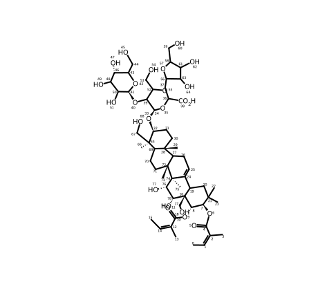 C/C=C(/C)C(=O)O[C@H]1[C@H](OC(=O)/C(C)=C\C)[C@@]2(CO)C(CC1(C)C)C1=CCC3[C@@]4(C)CC[C@H](O[C@H](OC(C)C(=O)O)C(O[C@@H]5OC(CO)[C@@H](O)C(O)C5O)C(CO)OC5OC(CO)C(O)C5O)[C@](C)(CO)C4CC[C@@]3(C)[C@]1(C)[C@@H](O)[C@H]2O